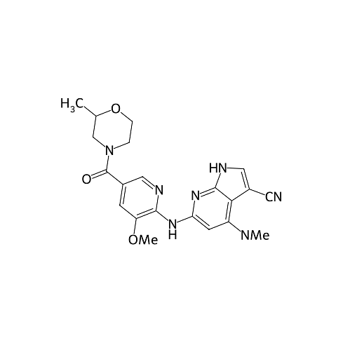 CNc1cc(Nc2ncc(C(=O)N3CCOC(C)C3)cc2OC)nc2[nH]cc(C#N)c12